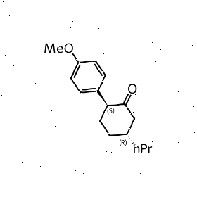 CCC[C@@H]1CC[C@@H](c2ccc(OC)cc2)C(=O)C1